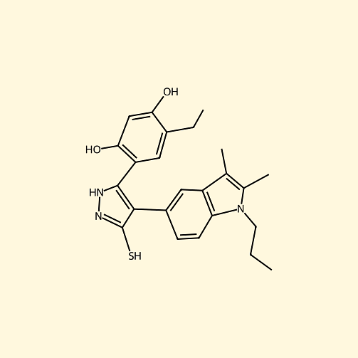 CCCn1c(C)c(C)c2cc(-c3c(S)n[nH]c3-c3cc(CC)c(O)cc3O)ccc21